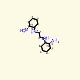 N[C@@H]1CCCC[C@H]1NCCNC1CCCC[C@@H]1N